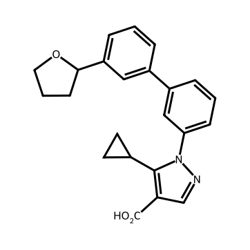 O=C(O)c1cnn(-c2cccc(-c3cccc(C4CCCO4)c3)c2)c1C1CC1